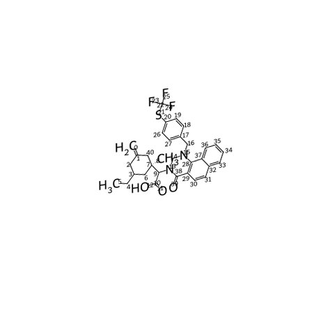 C=C1CC(CC)C[C@](C)(C(C(=O)O)N2CN(Cc3ccc(SC(F)(F)F)cc3)c3c(ccc4ccccc34)C2=O)C1